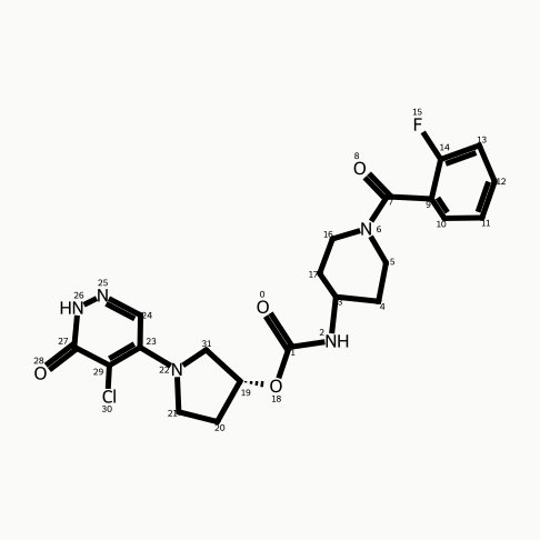 O=C(NC1CCN(C(=O)c2ccccc2F)CC1)O[C@@H]1CCN(c2cn[nH]c(=O)c2Cl)C1